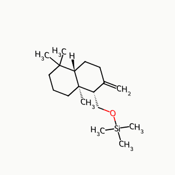 C=C1CC[C@H]2C(C)(C)CCC[C@]2(C)[C@H]1CO[Si](C)(C)C